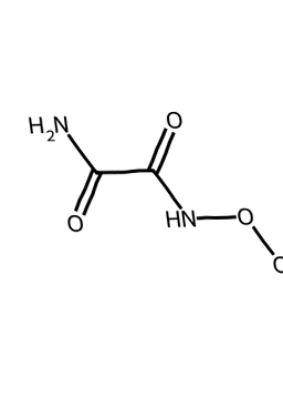 NC(=O)C(=O)NOO